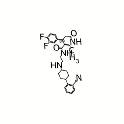 CC1=C(C(=O)NCCNC2CCC(c3ccccc3C#N)CC2)[C@@H](c2ccc(F)c(F)c2)CC(=O)N1